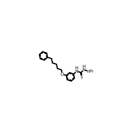 CCCNC(=S)Nc1cccc(OCCCCCc2ccccc2)c1